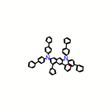 c1ccc(-c2ccc(N(c3ccc(-c4ccccc4)cc3)c3cc(-c4ccccc4)c4cc(-c5ccccc5)c(N(c5ccc(-c6ccccc6)cc5)c5ccc(-c6ccccc6)cc5)cc4c3)cc2)cc1